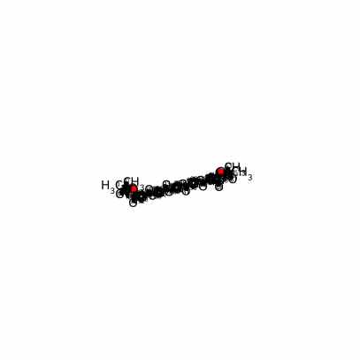 CC1=C(C)C(=O)N(CN2C(=O)c3ccc(C(=O)Oc4ccc(C(=O)Oc5ccc(OC(=O)c6ccc(OC(=O)c7ccc8c(c7)C(=O)N(CN7C(=O)C(C)=C(C)C7=O)C8=O)cc6)cc5)cc4)cc3C2=O)C1=O